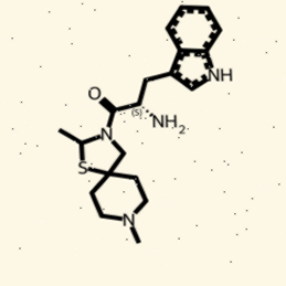 CC1SC2(CCN(C)CC2)CN1C(=O)[C@@H](N)Cc1c[nH]c2ccccc12